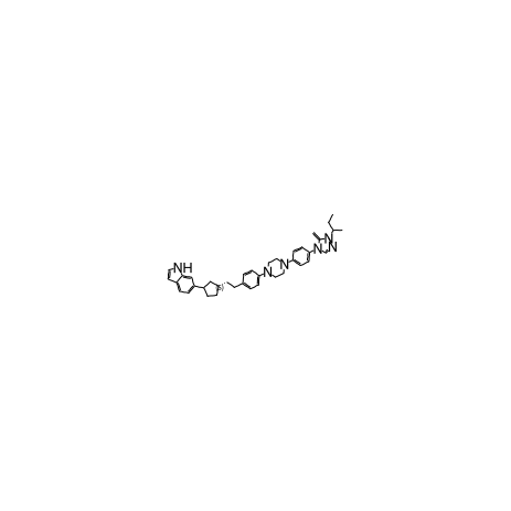 C=C1N(c2ccc(N3CCN(c4ccc(CC[C@@H]5CCC(c6ccc7cc[nH]c7c6)C5)cc4)CC3)cc2)C=NN1C(C)CC